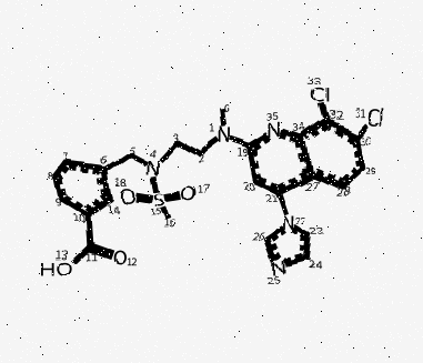 CN(CCN(Cc1cccc(C(=O)O)c1)S(C)(=O)=O)c1cc(-n2ccnc2)c2ccc(Cl)c(Cl)c2n1